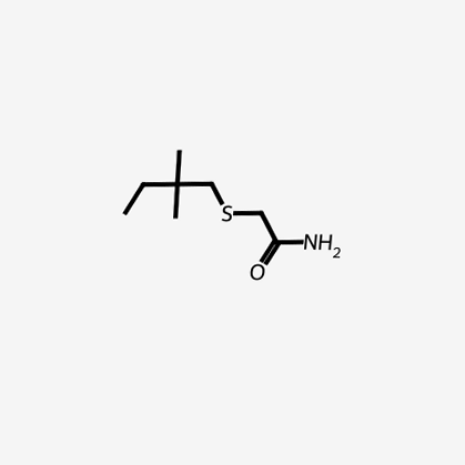 CCC(C)(C)CSCC(N)=O